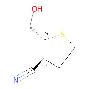 N#C[C@@H]1CCS[C@H]1CO